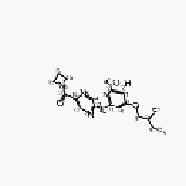 O=C(O)c1cc(OCC(F)CF)cc(Oc2cnc(C(=O)N3CCC3)cn2)c1